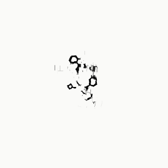 Cc1cccc(C)c1-c1nc2nc(c1C)OC[C@@H](CC1CCC1)N(Cc1ncc(OC(C)C)cn1)C(=O)c1cccc(c1)S(=O)(=O)N2